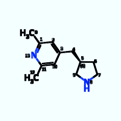 Cc1cc(C[C@H]2CCNC2)cc(C)n1